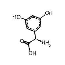 N[C@@H](C(=O)O)c1cc(O)cc(O)c1